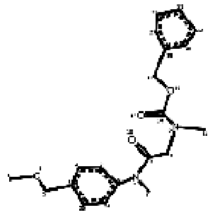 COCc1ccc(N(C)C(=O)CN(C)C(=O)OCc2ccccc2)cc1